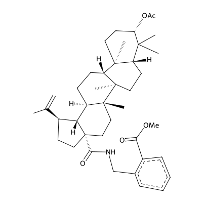 C=C(C)[C@@H]1CC[C@]2(C(=O)NCc3ccccc3C(=O)OC)CC[C@]3(C)[C@H](CC[C@@H]4[C@@]5(C)CC[C@H](OC(C)=O)C(C)(C)[C@@H]5CC[C@]43C)[C@@H]12